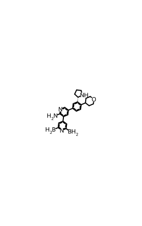 Bc1cc(-c2cc(-c3ccc(C4CCOCC4)c([C@@H]4CCCN4)c3)cnc2N)cc(B)n1